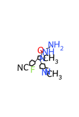 Cn1cc2cc(-c3c(-c4ccc(C#N)c(F)c4)cc(C(=O)NCCN)n3C)ccc2n1